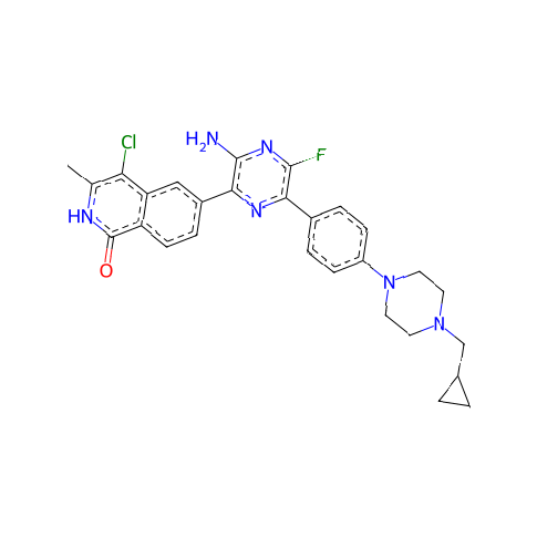 Cc1[nH]c(=O)c2ccc(-c3nc(-c4ccc(N5CCN(CC6CC6)CC5)cc4)c(F)nc3N)cc2c1Cl